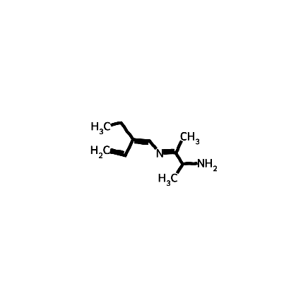 C=C/C(=C\N=C(/C)C(C)N)CC